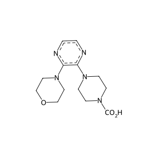 O=C(O)N1CCN(c2nccnc2N2CCOCC2)CC1